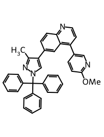 COc1ccc(-c2ccnc3ccc(-c4cn(C(c5ccccc5)(c5ccccc5)c5ccccc5)nc4C)cc23)cn1